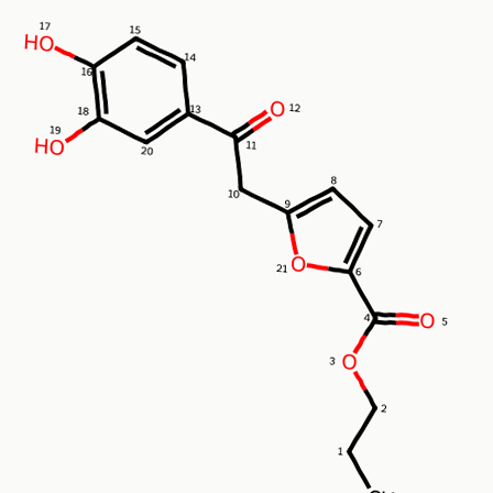 CCCOC(=O)c1ccc(CC(=O)c2ccc(O)c(O)c2)o1